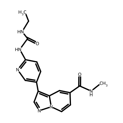 CCNC(=O)Nc1ccc(-c2cnn3ccc(C(=O)NC)cc23)cn1